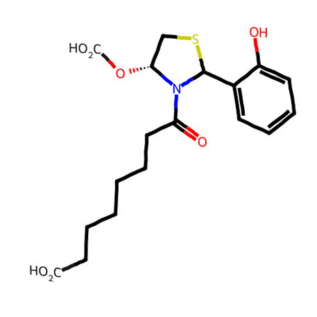 O=C(O)CCCCCCC(=O)N1C(c2ccccc2O)SC[C@H]1OC(=O)O